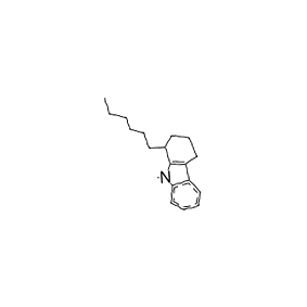 CCCCCCC1CCCC2=C1[N]c1ccccc12